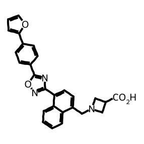 O=C(O)C1CN(Cc2ccc(-c3noc(-c4ccc(-c5ccco5)cc4)n3)c3ccccc23)C1